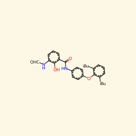 CCC(C)c1cccc(C(C)CC)c1Oc1ccc(NC(=O)c2cccc(NC=O)c2O)cc1